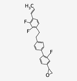 C/C=C/c1ccc(CCc2ccc(-c3ccc(C4CO4)cc3F)cc2)c(F)c1F